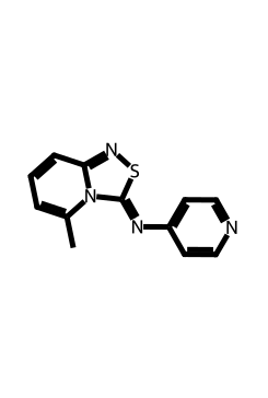 Cc1cccc2nsc(=Nc3ccncc3)n12